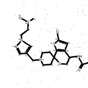 CC(=O)NC1COC2(CCN(Cc3cnn(CC[S+](C)[O-])c3)CC2)c2sc(Cl)cc21